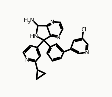 NC1NC(c2cccc(-c3cncc(Cl)c3)c2)(c2ccnc(C3CC3)c2)c2nccnc21